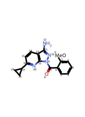 COc1ccccc1C(=O)n1nc(N)c2ccc(C3CC3)nc21